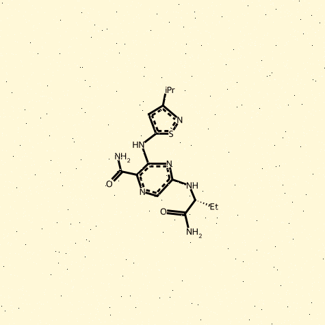 CC[C@@H](Nc1cnc(C(N)=O)c(Nc2cc(C(C)C)ns2)n1)C(N)=O